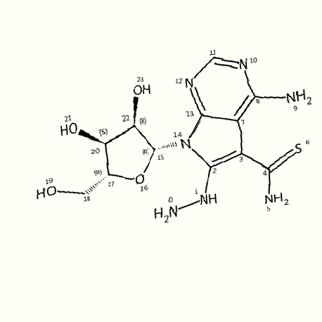 NNc1c(C(N)=S)c2c(N)ncnc2n1[C@@H]1O[C@H](CO)[C@@H](O)[C@H]1O